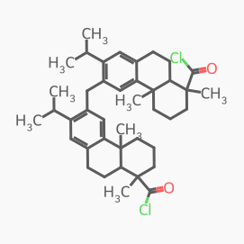 CC(C)c1cc2c(cc1Cc1cc3c(cc1C(C)C)CCC1C(C)(C(=O)Cl)CCCC31C)C1(C)CCCC(C)(C(=O)Cl)C1CC2